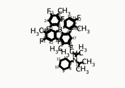 CC(C)[NH+](C(C)C)C1CCCCC1.Cc1cc([B-](c2cc(C)c(F)cc2F)(c2cc(C)c(F)cc2F)c2cc(C)c(F)cc2F)c(F)cc1F